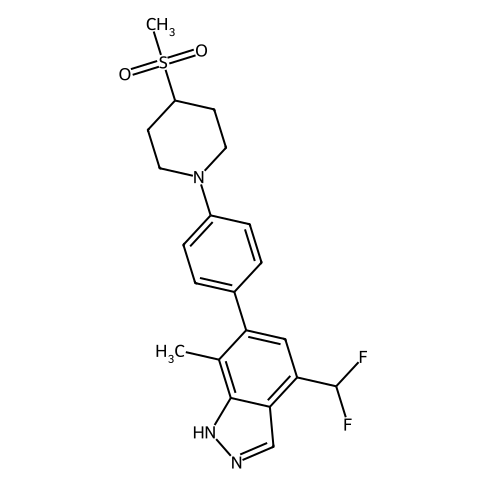 Cc1c(-c2ccc(N3CCC(S(C)(=O)=O)CC3)cc2)cc(C(F)F)c2cn[nH]c12